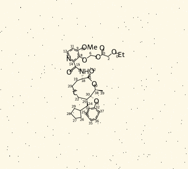 CCOCC(=O)OCOc1c(OC)ccnc1C(=O)N[C@H]1CCCC[C@H](CC2CCCC2)[C@@H](Oc2ccccc2)[C@H](C)OC1=O